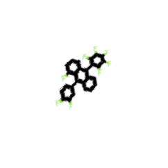 Fc1ccc(-c2c3ccccc3c(-c3c(F)c(F)c(F)c(F)c3F)c3cccc(F)c23)cc1F